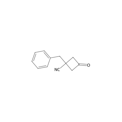 N#CC1(Cc2ccccc2)CC(=O)C1